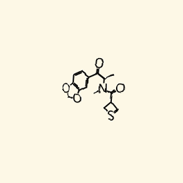 C[C@H](C(=O)c1ccc2c(c1)OCO2)N(C)C(=O)C1CSC1